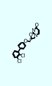 O=c1ccn2c(n1)O[C@H](COc1ccc(-c3cccc(Cl)c3Cl)cc1)C2